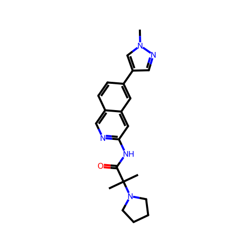 Cn1cc(-c2ccc3cnc(NC(=O)C(C)(C)N4CCCC4)cc3c2)cn1